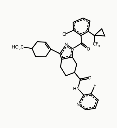 O=C(O)C1CC=C(c2nn(C(=O)c3c(Cl)cccc3C3(C(F)(F)F)CC3)c3c2CCC(C(=O)Nc2ncccc2F)C3)CC1